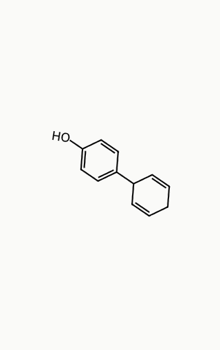 Oc1ccc(C2C=CCC=C2)cc1